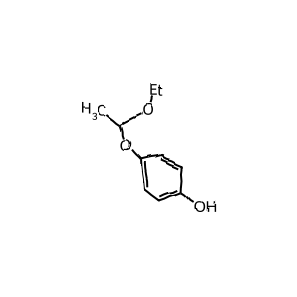 CCOC(C)Oc1ccc(O)cc1